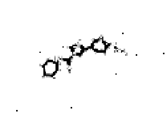 COc1ccc(-c2cn(C(=O)NC3CCCCC3)cn2)cn1